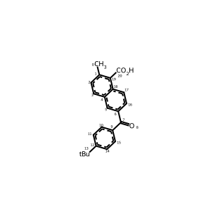 Cc1ccc2cc(C(=O)c3ccc(C(C)(C)C)cc3)ccc2c1C(=O)O